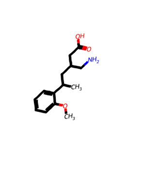 COc1ccccc1C(C)CC(CN)CC(=O)O